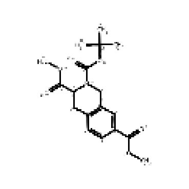 COC(=O)c1ccc2c(c1)CN(C(=O)OC(C)(C)C)C(C(=O)OC)C2